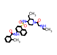 CCNCC(=O)N1CCC(NS(=O)(=O)c2ccc(NC(=O)c3ccccc3C)c3ccccc23)C(CC)C1